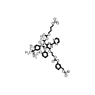 COc1ccccc1Oc1c(OCCOC(=O)Oc2cccc(CO[N+](=O)[O-])c2)nc(-c2ncccn2)nc1N(C(C)OC(=O)OCCCCO[N+](=O)[O-])S(=O)(=O)c1ccc(C(C)(C)C)cc1